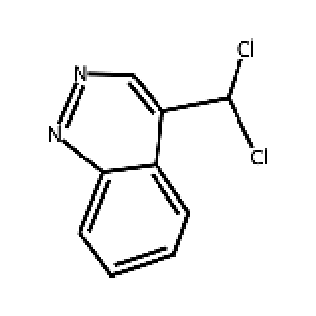 ClC(Cl)c1cnnc2ccccc12